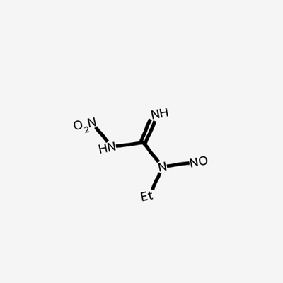 CCN(N=O)C(=N)N[N+](=O)[O-]